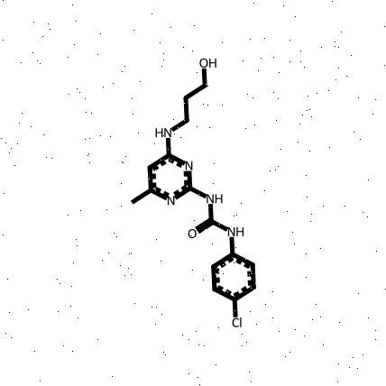 Cc1cc(NCCCO)nc(NC(=O)Nc2ccc(Cl)cc2)n1